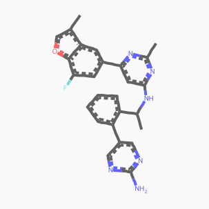 Cc1nc(NC(C)c2ccccc2-c2cnc(N)nc2)cc(-c2cc(F)c3occ(C)c3c2)n1